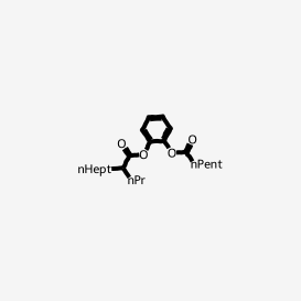 CCCCCCCC(CCC)C(=O)Oc1ccccc1OC(=O)CCCCC